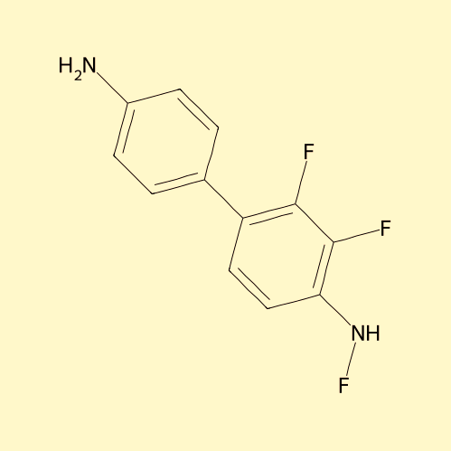 Nc1ccc(-c2ccc(NF)c(F)c2F)cc1